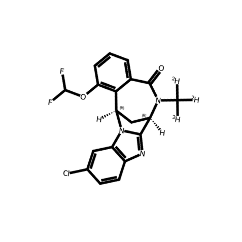 [2H]C([2H])([2H])N1C(=O)c2cccc(OC(F)F)c2[C@H]2C[C@@H]1c1nc3ccc(Cl)cc3n12